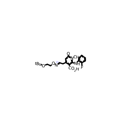 Cn1c(Nc2ccccc2F)c(C(=O)O)c(C/C=N/OCCOC(C)(C)C)cc1=O